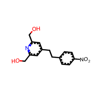 O=[N+]([O-])c1ccc(CCc2cc(CO)nc(CO)c2)cc1